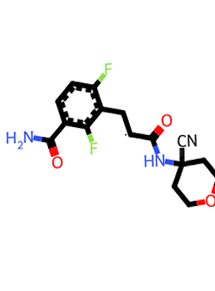 N#CC1(NC(=O)[CH]Cc2c(F)ccc(C(N)=O)c2F)CCOCC1